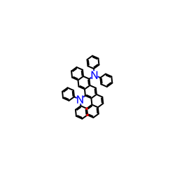 c1ccc(N(c2ccccc2)c2c3ccccc3cc3c(N(c4ccccc4)c4ccccc4)c4c(ccc5ccccc54)cc23)cc1